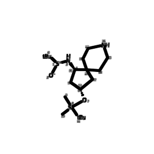 CC(C)(C)[S+]([O-])N[C@@H]1C[C@@H](O[Si](C)(C)C(C)(C)C)CC12CCNCC2